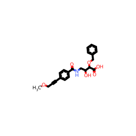 COCC#Cc1ccc(C(=O)NCC(O)C(OCc2ccccc2)C(=O)O)cc1